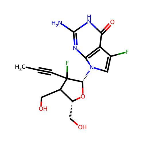 CC#CC1(F)C(CO)[C@@H](CO)O[C@H]1n1cc(F)c2c(=O)[nH]c(N)nc21